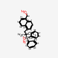 CC(C)(Cc1cccc2c(CO)cccc12)[Si](O)(c1ccccc1)c1ccccc1